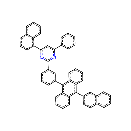 c1ccc(-c2cc(-c3cccc4ccccc34)nc(-c3cccc(-c4c5ccccc5c(-c5ccc6ccccc6c5)c5ccccc45)c3)n2)cc1